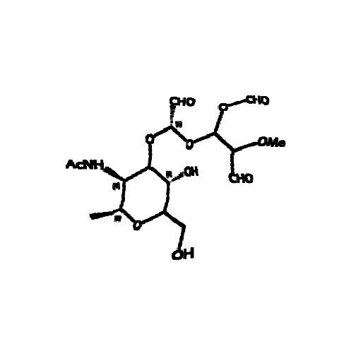 COC(C=O)C(OC=O)O[C@@H](C=O)OC1[C@H](O)C(CO)O[C@@H](C)[C@H]1NC(C)=O